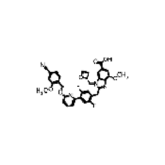 COc1cc(C#N)ccc1COc1cccc(-c2cc(F)c(Cc3nc4c(OC)cc(C(=O)O)cc4n3C[C@@H]3CCO3)cc2F)n1